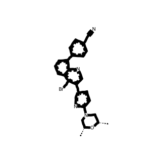 C[C@@H]1CN(c2ccc(-c3cnc4c(-c5ccc(C#N)cc5)cccc4c3Br)cn2)C[C@H](C)O1